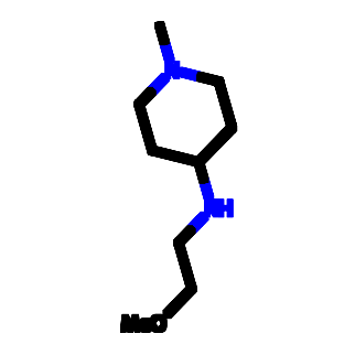 COCCNC1CCN(C)CC1